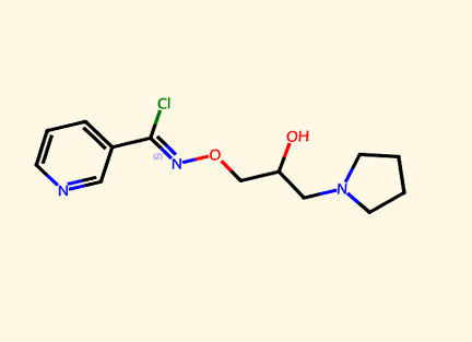 OC(CO/N=C(\Cl)c1cccnc1)CN1CCCC1